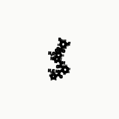 Cn1cccc1C(=O)Nc1ccccc1C(=O)Nc1n[nH]c2c1CN(S(=O)(=O)c1cc(F)cc(F)c1)C2(C)C